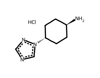 Cl.N[C@H]1CC[C@H](n2cncn2)CC1